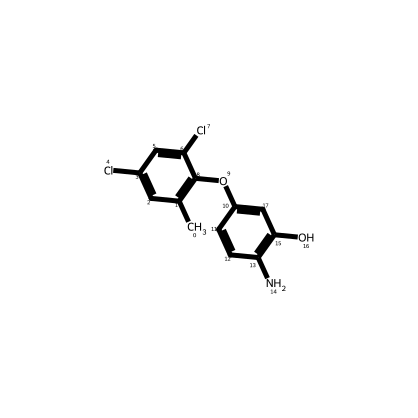 Cc1cc(Cl)cc(Cl)c1Oc1ccc(N)c(O)c1